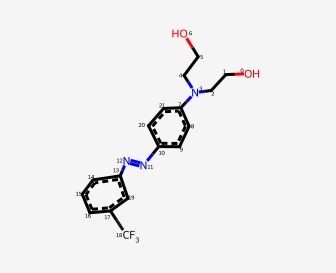 OCCN(CCO)c1ccc(N=Nc2cccc(C(F)(F)F)c2)cc1